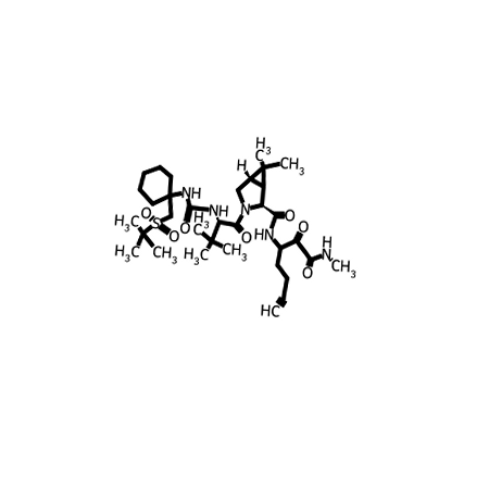 C#CCCC(NC(=O)[C@@H]1C2[C@H](CN1C(=O)[C@@H](NC(=O)NC1(CS(=O)(=O)C(C)(C)C)CCCCC1)C(C)(C)C)C2(C)C)C(=O)C(=O)NC